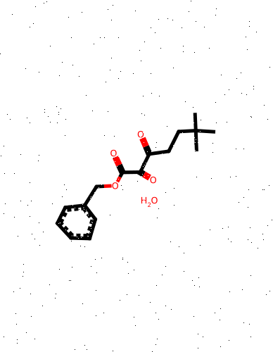 CC(C)(C)CCC(=O)C(=O)C(=O)OCc1ccccc1.O